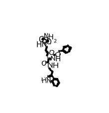 NS(=O)(=O)NCCCC[C@H](NC(=O)OCc1ccccc1)C(=O)NCCc1c[nH]c2ccccc12